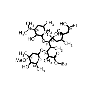 CCC(C)OC(=O)C(C)[C@@H](OC1C[C@@](C)(OC)C(O)[C@H](C)O1)C(C)[C@@H](OC1OC(C)C[C@H](N(C)C)C1O)[C@](C)(O)CC(C)C(=O)C[C@@H](O)CC